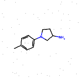 Cc1ccc(N2CCC(N)C2)cc1